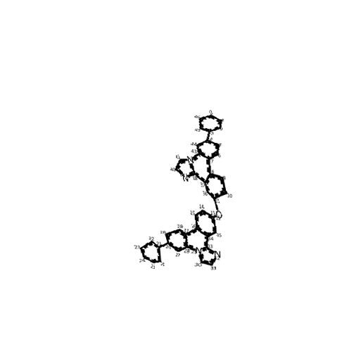 c1ccc(-c2ccc3c4ccc(Oc5ccc6c7ccc(-c8ccccc8)cc7n7ccnc7c6c5)cc4c4nccn4c3c2)cc1